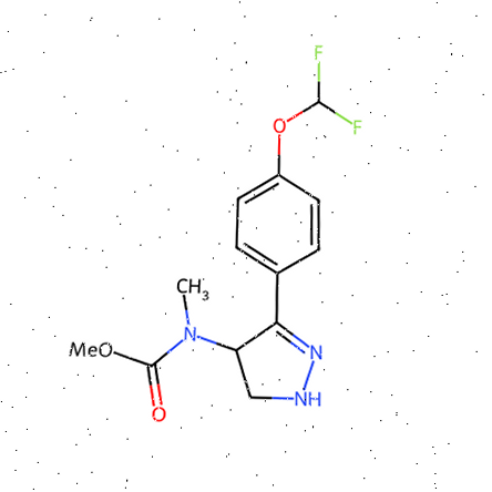 COC(=O)N(C)C1CNN=C1c1ccc(OC(F)F)cc1